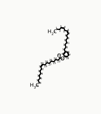 C=CC/C=C\C/C=C\CCCCCCCc1cccc(OC(=O)CCCCCCC/C=C\CCCCCCCC)c1